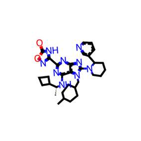 CC1CCC(Cn2c(N3CCCCC3c3cccnc3)nc3nc(-c4noc(=O)[nH]4)nc(N[C@H](C)C4CCC4)c32)CC1